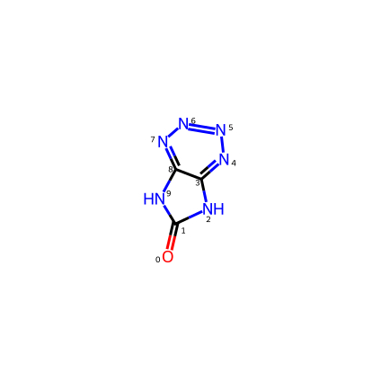 O=c1[nH]c2nnnnc2[nH]1